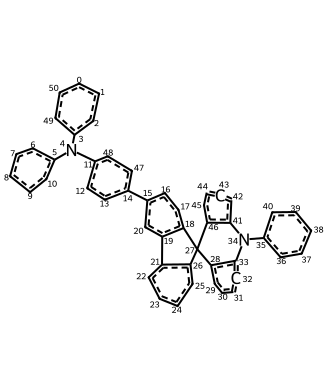 c1ccc(N(c2ccccc2)c2ccc(-c3ccc4c(c3)-c3ccccc3C43c4ccccc4N(c4ccccc4)c4ccccc43)cc2)cc1